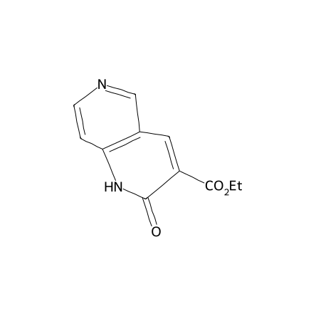 CCOC(=O)c1cc2cnccc2[nH]c1=O